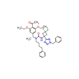 CCOc1cc([C@@H](C)N(CCCCc2ccccc2)C(=O)NC2(c3nnn(Cc4ccccc4)n3)CC(F)(F)C2)cc(OCC)c1C(C)=O